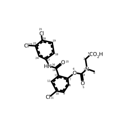 CN(CC(=O)O)C(=O)Oc1ccc(Cl)cc1C(=O)Nc1ccc(Cl)c(Cl)c1